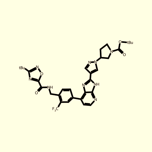 CC(C)(C)OC(=O)N1CCC(n2cc(-c3nc4c(-c5ccc(CNC(=O)c6nc(C(C)(C)C)no6)c(C(F)(F)F)c5)ccnc4[nH]3)cn2)C1